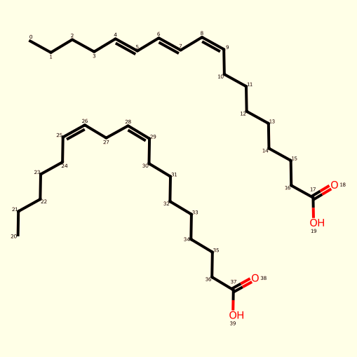 CCCC/C=C/C=C/C=C\CCCCCCCC(=O)O.CCCCC/C=C\C/C=C\CCCCCCCC(=O)O